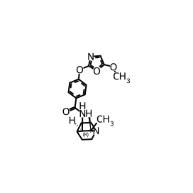 COc1cnc(Oc2ccc(C(=O)N[C@@H]3C4CCN(CC4)[C@H]3C)cc2)o1